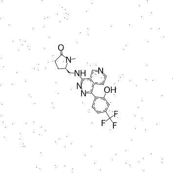 CN1C(=O)CC[C@@H]1CNc1nnc(-c2ccc(C(F)(F)F)cc2O)c2ccncc12